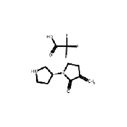 C=C1CCN([C@H]2CCNC2)C1=O.O=C(O)C(F)(F)F